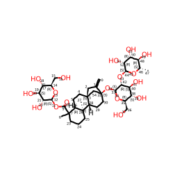 C=C1C[C@]23CC[C@H]4C(C)(C(=O)O[C@@H]5O[C@H](CO)[C@@H](O)[C@H](O)[C@H]5O)CCC[C@]4(C)[C@H]2CC[C@]1(O[C@@H]1O[C@H](CO)[C@@H](O)[C@H](O)[C@H]1O[C@@H]1O[C@@H](C)[C@H](O)[C@@H](O)[C@H]1O)C3